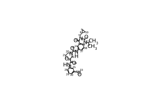 CC(C)n1c(=O)n(CC2CC2)c(=O)c2cc(NC(=O)N3CCOC(C(=O)Nc4cccc(C5CO5)c4)C3)ccc21